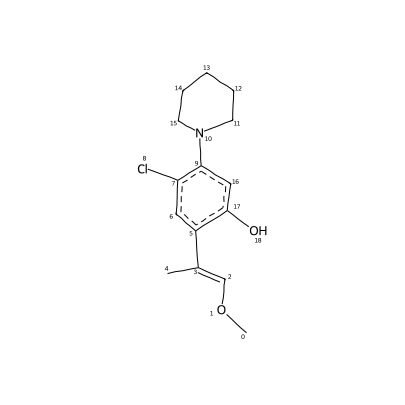 COC=C(C)c1cc(Cl)c(N2CCCCC2)cc1O